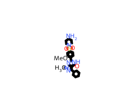 COc1cc(S(=O)(=O)N2CCC(N)CC2)ccc1-c1nc2c(c(C3CCCCC3)nn2C)c(=O)[nH]1